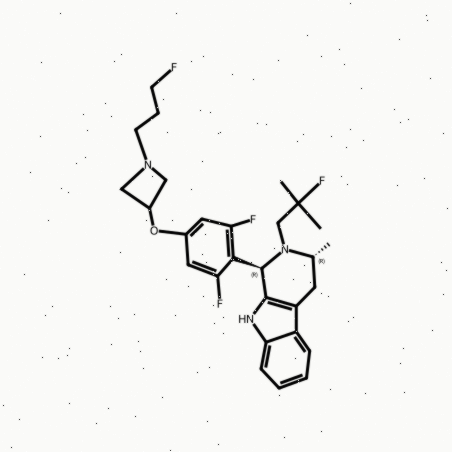 C[C@@H]1Cc2c([nH]c3ccccc23)[C@@H](c2c(F)cc(OC3CN(CCCF)C3)cc2F)N1CC(C)(C)F